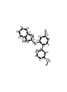 COc1ccnc(-c2ccc(F)cc2Sc2nc3ccccc3[nH]2)c1